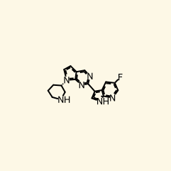 Fc1cnc2[nH]cc(-c3ncc4ccn([C@H]5CCCNC5)c4n3)c2c1